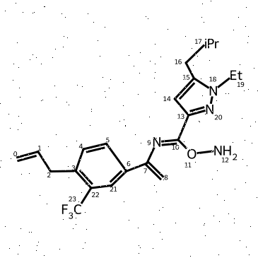 C=CCc1ccc(C(=C)/N=C(\ON)c2cc(CC(C)C)n(CC)n2)cc1C(F)(F)F